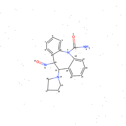 NC(=O)N1c2ccccc2C(N=O)C(N2CCCC2)c2ccccc21